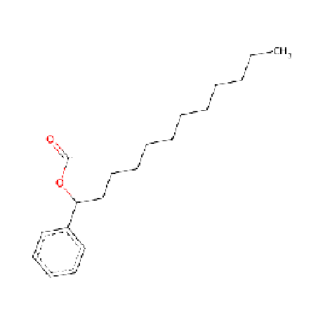 CCCCCCCCCCCC(O[C]=O)c1ccccc1